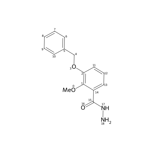 COc1c(OCc2ccccc2)cccc1C(=O)NN